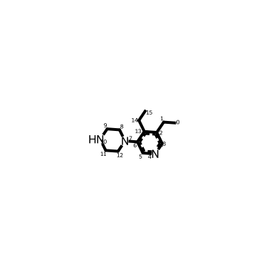 CCc1[c]ncc(N2CCNCC2)c1CC